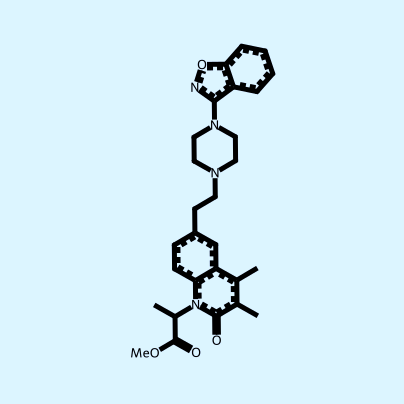 COC(=O)C(C)n1c(=O)c(C)c(C)c2cc(CCN3CCN(c4noc5ccccc45)CC3)ccc21